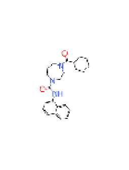 O=C(Nc1cccc2ccccc12)N1CCCN(C(=O)C2CCCCC2)CC1